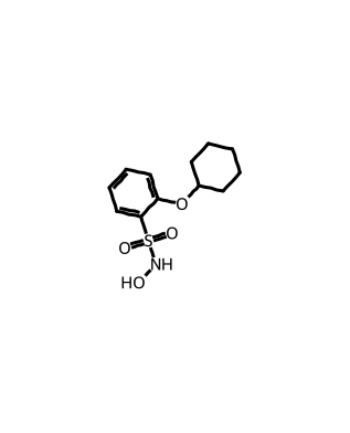 O=S(=O)(NO)c1ccccc1OC1CCCCC1